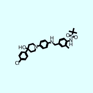 Cc1cc(CNc2ccc(N3CCC(O)(c4ccc(Cl)cc4)CC3)cc2)ccc1NS(=O)(=O)C(C)(C)C